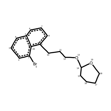 Brc1cccc2cccc(CCCOC3CCCCO3)c12